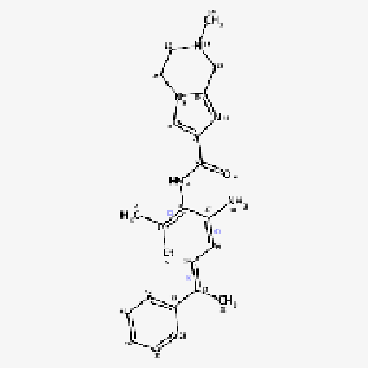 CC\C(C)=C(NC(=O)c1cn2c(n1)CN(C)CC2)/C(N)=C\C=C(/C)c1ccccc1